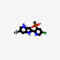 CCS(=O)(=O)c1cc(Br)cnc1-c1cc2[nH]cc(C(F)(F)F)cc-2n1